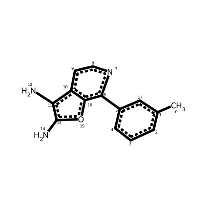 Cc1cccc(-c2nccc3c(N)c(N)oc23)c1